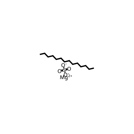 CCCCCCCCCCCCCC.O=S(=O)([O-])[O-].[Mg+2]